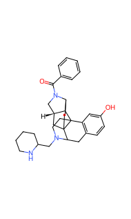 O=C(c1ccccc1)N1C[C@H]2CC34CCC1C2C31CCN(CC2CCCCN2)C4Cc2ccc(O)cc21